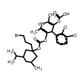 CC1=C(OC(=O)O)C(c2cccc(Cl)c2Cl)C(OC(=O)OC2(CCCBr)CC(C)CC(C(C)C)C2)=C(C)N1